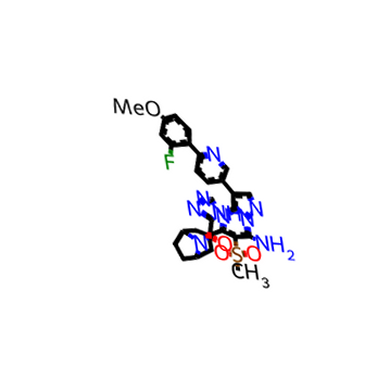 COc1ccc(-c2ccc(-c3cnn4c(N)c(S(C)(=O)=O)c(C5CC6CCC(C5)N6C(=O)c5nnc[nH]5)nc34)cn2)c(F)c1